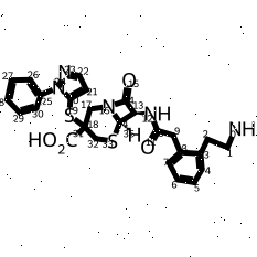 NCCc1ccccc1CC(=O)N[C@@H]1C(=O)N2CC(Sc3ccnn3-c3ccccc3)(C(=O)O)CS[C@H]12